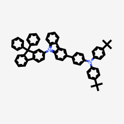 CC(C)(C)c1ccc(N(c2ccc(-c3ccc4c(c3)c3ccccc3n4-c3ccc4c(c3)C(c3ccccc3)(c3ccccc3)c3ccccc3-4)cc2)c2ccc(C(C)(C)C)cc2)cc1